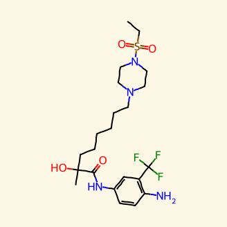 CCS(=O)(=O)N1CCN(CCCCCCC(C)(O)C(=O)Nc2ccc(N)c(C(F)(F)F)c2)CC1